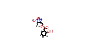 CC(=O)c1c(COC(=O)c2ccccc2O)no[n+]1[O-]